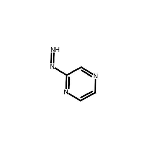 N=Nc1cnccn1